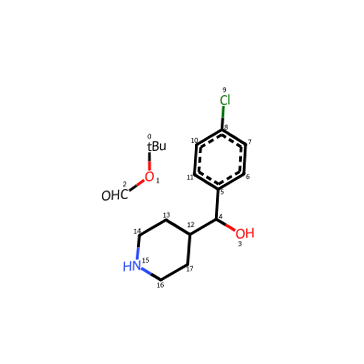 CC(C)(C)OC=O.OC(c1ccc(Cl)cc1)C1CCNCC1